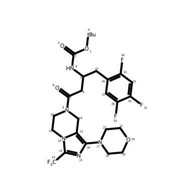 CC(C)(C)OC(=O)NC(CC(=O)N1CCn2c(C(F)(F)F)nc(N3CCOCC3)c2C1)Cc1cc(F)c(F)cc1F